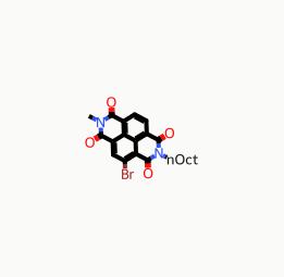 CCCCCCCCN1C(=O)c2ccc3c4c(cc(Br)c(c24)C1=O)C(=O)N(C)C3=O